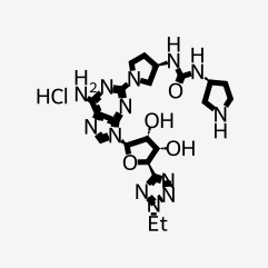 CCn1nnc([C@H]2O[C@@H](n3cnc4c(N)nc(N5CC[C@@H](NC(=O)N[C@@H]6CCNC6)C5)nc43)[C@H](O)[C@@H]2O)n1.Cl